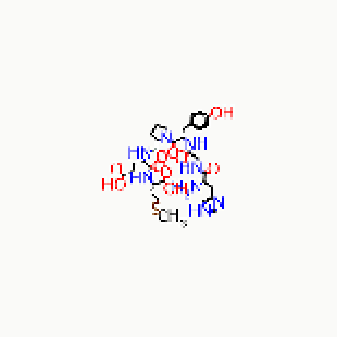 CSCC[C@H](NC(=O)[C@H](CCC(=O)O)NC(=O)[C@@H]1CCCN1C(=O)[C@H](Cc1ccc(O)cc1)NC(=O)CNC(=O)[C@@H](N)Cc1c[nH]cn1)C(=O)O